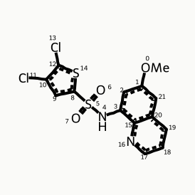 COc1cc(NS(=O)(=O)c2cc(Cl)c(Cl)s2)c2ncccc2c1